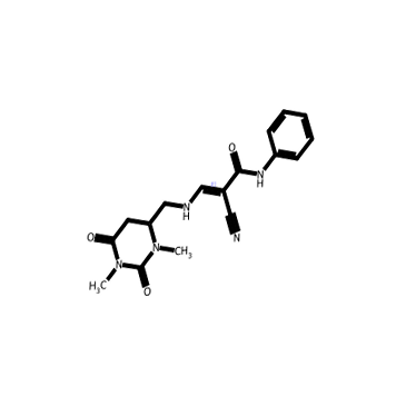 CN1C(=O)CC(CN/C=C(\C#N)C(=O)Nc2ccccc2)N(C)C1=O